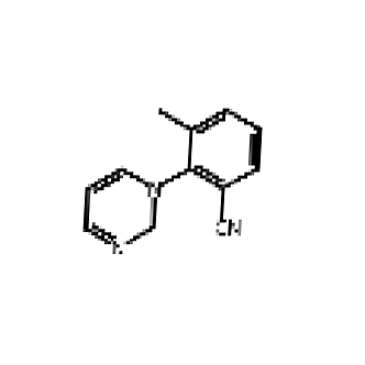 Cc1cccc(C#N)c1N1C=CC=NC1